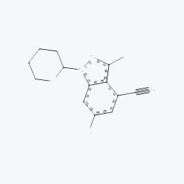 Cc1nn(C2CCCCO2)c2cc(Br)cc(C#N)c12